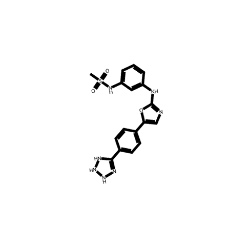 CS(=O)(=O)Nc1cccc(Nc2ncc(-c3ccc(C4=NNNN4)cc3)o2)c1